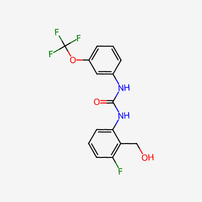 O=C(Nc1cccc(OC(F)(F)F)c1)Nc1cccc(F)c1CO